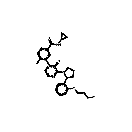 Cc1ccc(C(=O)NC2CC2)cc1-n1ccnc(N2CCCC2c2ccccc2OCCCCl)c1=O